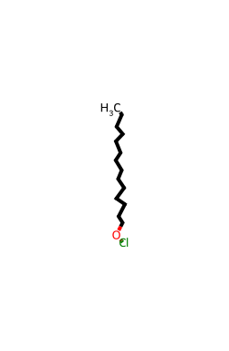 CCCCCCCCCCCCCCOCl